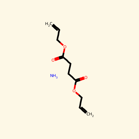 C=CCOC(=O)CCC(=O)OCC=C.N